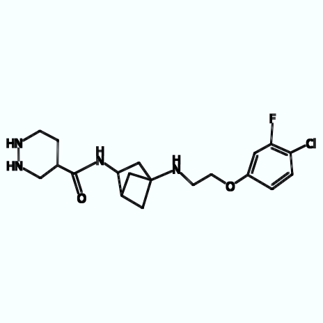 O=C(NC1CC2(NCCOc3ccc(Cl)c(F)c3)CC1C2)C1CCNNC1